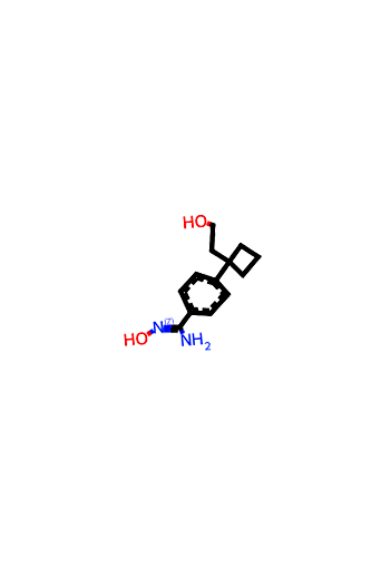 N/C(=N\O)c1ccc(C2(CCO)CCC2)cc1